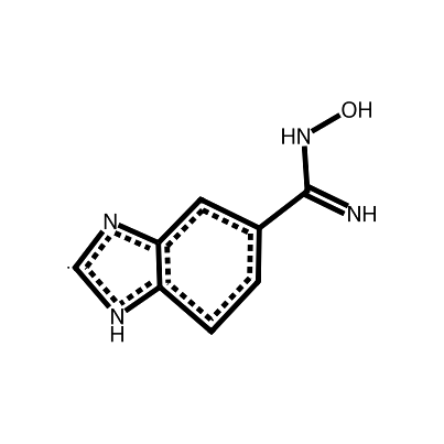 N=C(NO)c1ccc2[nH][c]nc2c1